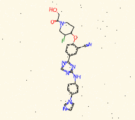 N#Cc1cc(-c2ncnc(Nc3ccc(-n4ccnc4)cc3)n2)ccc1OC1CCN(C(=O)CO)CC1F